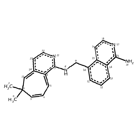 CC1(C)C=CC=c2c(NCc3cccc4c(N)nccc34)nccc2=C1